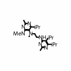 CNc1nc(C)nc(C(C)C)c1N(C)CCNc1nc(C)nc(C(C)C)c1C(C)C